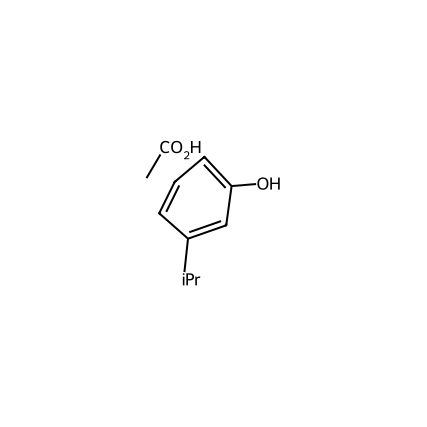 CC(=O)O.CC(C)c1cccc(O)c1